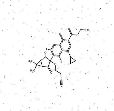 CCOC(=O)c1cn(C2CC2)c2c(F)c(C3(OCCC#N)C(=O)C4C(C3=O)C4(C)C)c(F)cc2c1=O